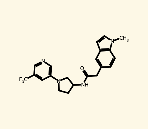 Cn1ccc2cc(CC(=O)NC3CCN(c4cncc(C(F)(F)F)c4)C3)ccc21